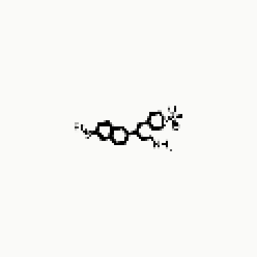 CCOc1ccc2c(c1)CCC(C(CCN)CC1CCN(S(C)(=O)=O)CC1)C2